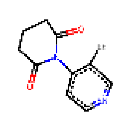 CCc1cnccc1N1C(=O)CCCC1=O